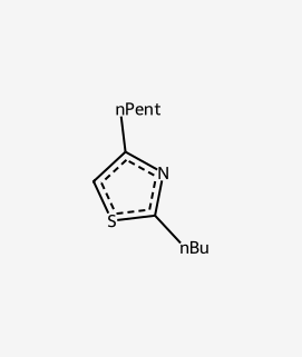 CCCCCc1csc(CCCC)n1